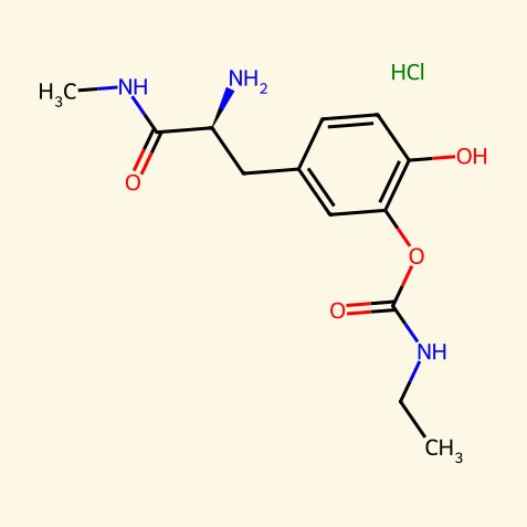 CCNC(=O)Oc1cc(C[C@H](N)C(=O)NC)ccc1O.Cl